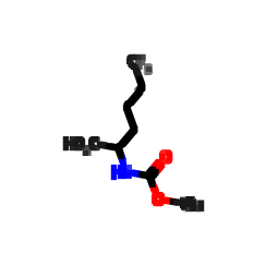 CC(C)(C)OC(=O)NC(CCCC(F)(F)F)C(=O)O